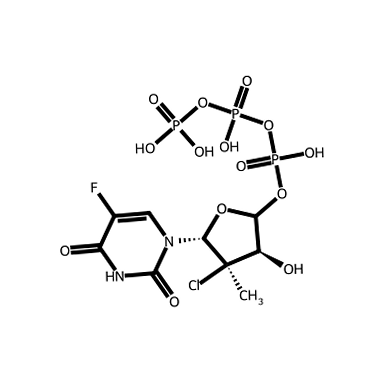 C[C@@]1(Cl)[C@H](O)C(OP(=O)(O)OP(=O)(O)OP(=O)(O)O)O[C@H]1n1cc(F)c(=O)[nH]c1=O